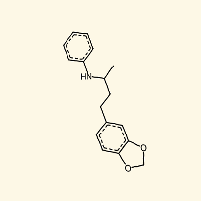 CC(CCc1ccc2c(c1)OCO2)Nc1ccccc1